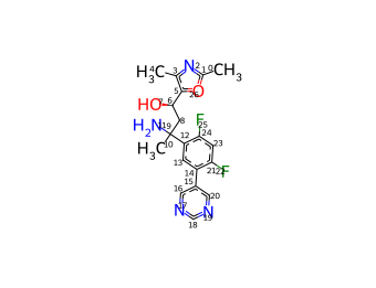 Cc1nc(C)c([C@H](O)CC(C)(N)c2cc(-c3cncnc3)c(F)cc2F)o1